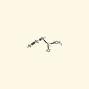 C[S+]([O-])N=[N+]=[N-]